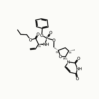 C=C[C@H](NP(=O)(OC[C@@H]1C[C@H](C)[C@H](n2ccc(=O)[nH]c2=O)O1)Oc1ccccc1)C(=O)OCCC